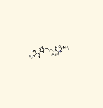 CN/C(=N/C(N)=O)NCCSCc1nsc(NC(=N)N)n1